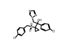 O=S(=O)(Cc1ccc(Cl)cc1)C1(C(O)(Cn2cncn2)c2ccc(Cl)cc2)CC1